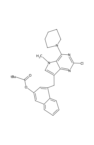 Cn1cc(Cc2cc(OC(=O)C(C)(C)C)cc3ccccc23)c2nc(Cl)nc(N3CCCCC3)c21